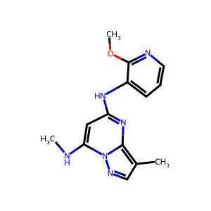 CNc1cc(Nc2cccnc2OC)nc2c(C)cnn12